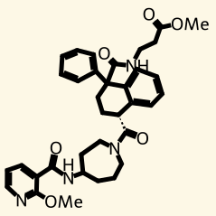 COC(=O)CCNC(=O)C1(c2ccccc2)CC[C@@H](C(=O)N2CCCC(NC(=O)c3cccnc3OC)CC2)c2ccccc21